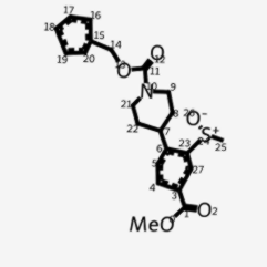 COC(=O)c1ccc(C2CCN(C(=O)OCc3ccccc3)CC2)c([S+](C)[O-])c1